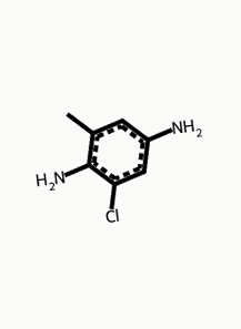 Cc1cc(N)cc(Cl)c1N